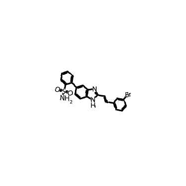 NS(=O)(=O)c1ccccc1-c1ccc2[nH]c(/C=C/c3cccc(Br)c3)nc2c1